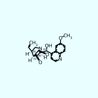 C=C[C@H]1CN2C(=O)C(=O)[C@H]1C[C@@H]2[C@@H](O)c1ccnc2ccc(OC)cc12